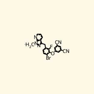 [CH2]n1nc(Cc2ccc(Br)c(Oc3cc(C#N)cc(C#N)c3)c2F)c2cccnc21